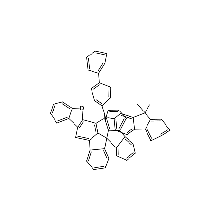 CC1(C)c2ccccc2-c2ccc(N(c3ccc(-c4ccccc4)cc3)c3c4c(cc5c3oc3ccccc35)-c3ccccc3C43c4ccccc4-c4ccccc43)cc21